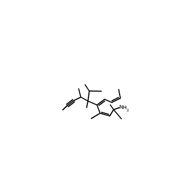 CC#CC(C)C(C)(C(=C/C=C\C)/C(C)=C\C(C)(C)N)C(C)C